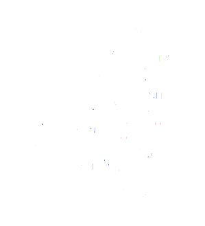 Cc1ccccc1N(Cc1cc(=O)[nH]c2c(F)c(F)ccc12)c1nc2ccccc2o1